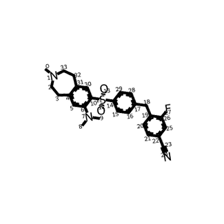 CN1CCc2cc(N(C)C)c(S(=O)(=O)c3ccc(Cc4ccc(C#N)cc4F)cc3)cc2CC1